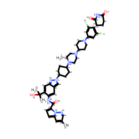 C[C@@H]1CN(C2CCN(c3cc(F)c([C@H]4CCC(=O)NC4=O)c(F)c3)CC2)CCN1C1CCC(n2cc3cc(NC(=O)c4ccc5cc(C#N)cnn45)c(C(C)(C)O)cc3n2)CC1